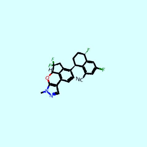 Cn1ncc2c1O[C@H]1c3c-2ccc([C@H]2CC[C@H](F)c4cc(F)cc(C#N)c42)c3CC1(F)F